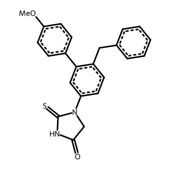 COc1ccc(-c2cc(N3CC(=O)NC3=S)ccc2Cc2ccccc2)cc1